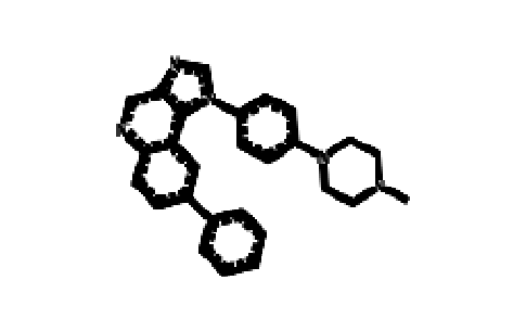 CN1CCN(c2ccc(-n3cnc4cnc5ccc(-c6ccccc6)cc5c43)cc2)CC1